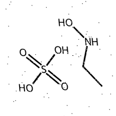 CCNO.O=S(=O)(O)O